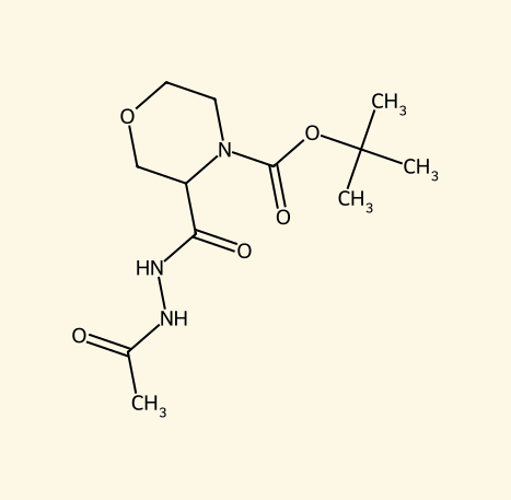 CC(=O)NNC(=O)C1COCCN1C(=O)OC(C)(C)C